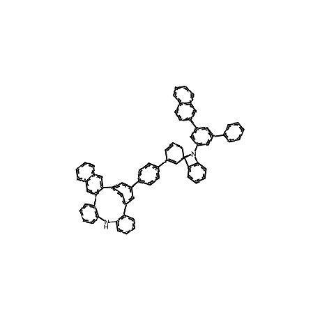 C1=CC(c2ccc(-c3cc4cc(c3)-c3cc5ccccc5cc3-c3ccccc3Nc3ccccc3-4)cc2)=CC2(C1)c1ccccc1N2c1cc(-c2ccccc2)cc(-c2ccc3ccccc3c2)c1